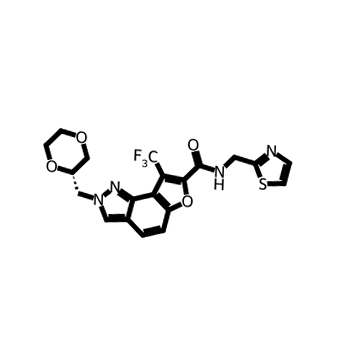 O=C(NCc1nccs1)c1oc2ccc3cn(C[C@H]4COCCO4)nc3c2c1C(F)(F)F